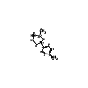 C[C@H]1CN(c2ccc(N)nc2)CCN1